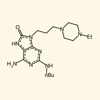 CCCCNc1nc(N)c2[nH]c(=O)n(CCCN3CCN(CC)CC3)c2n1